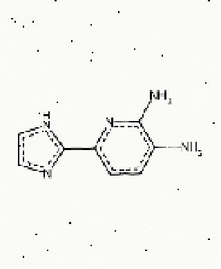 Nc1ccc(-c2ncc[nH]2)nc1N